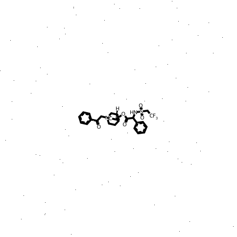 O=C(C[N+]12CCC(CC1)[C@@H](OC(=O)C(NS(=O)(=O)CC(F)(F)F)c1ccccc1)C2)c1ccccc1